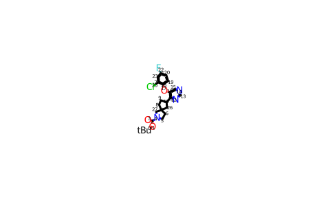 CC(C)(C)OC(=O)N1CCC2(CCC(c3ncncc3Oc3ccc(F)cc3Cl)C2)C1